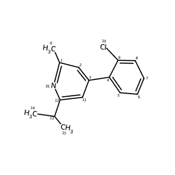 Cc1cc(-c2ccccc2Cl)cc(C(C)C)n1